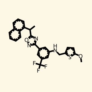 COc1ccc(CNc2cc(-c3noc(C(C)c4cccc5ccccc45)n3)cc(C(F)(F)F)c2)s1